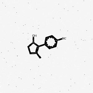 [C-]#[N+]c1ccc(C2=C(C)CCC2O)cc1